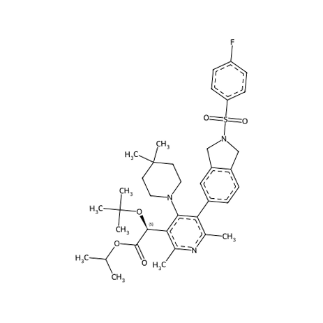 Cc1nc(C)c([C@H](OC(C)(C)C)C(=O)OC(C)C)c(N2CCC(C)(C)CC2)c1-c1ccc2c(c1)CN(S(=O)(=O)c1ccc(F)cc1)C2